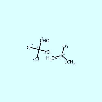 C[S+](C)[O-].O=CC(Cl)(Cl)Cl